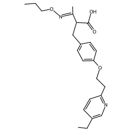 CCCON=C(C)C(Cc1ccc(OCCc2ccc(CC)cn2)cc1)C(=O)O